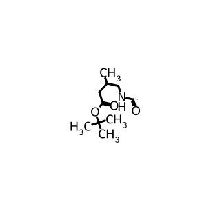 CC(CN[C]=O)CC(=O)OC(C)(C)C